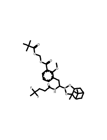 COc1c(CC(NC(=O)CCC(C)(F)F)B2OC3CC4CC(C4(C)C)C3(C)O2)cccc1C(=O)OCOC(=O)C(C)(C)C